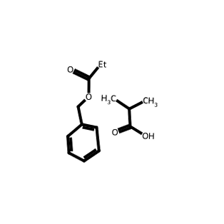 CC(C)C(=O)O.CCC(=O)OCc1ccccc1